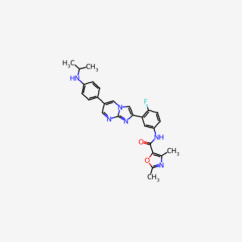 Cc1nc(C)c(C(=O)Nc2ccc(F)c(-c3cn4cc(-c5ccc(NC(C)C)cc5)cnc4n3)c2)o1